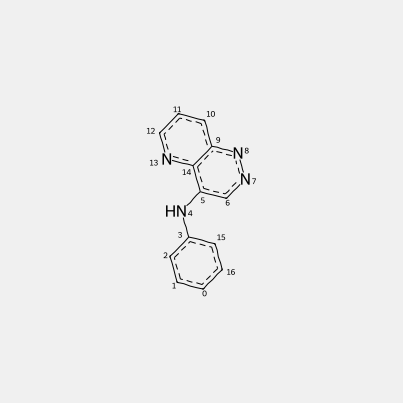 c1ccc(Nc2cnnc3cccnc23)cc1